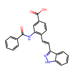 O=C(O)c1ccc(/C=C/c2n[nH]c3ccccc23)c(NC(=O)c2ccccc2)c1